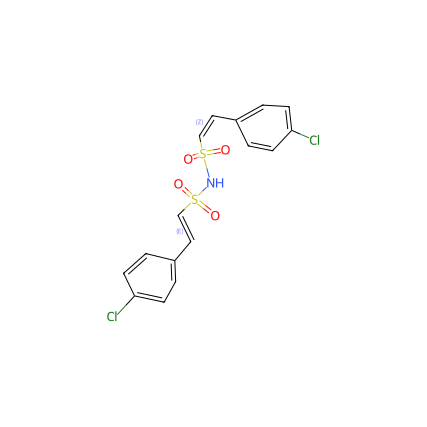 O=S(=O)(/C=C\c1ccc(Cl)cc1)NS(=O)(=O)/C=C/c1ccc(Cl)cc1